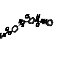 NC(=O)O[C@H]1CC[C@H](c2ncc(-c3ccc(NC(=O)NCc4ccccc4)cc3Cl)s2)CC1